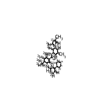 [2H]c1nc(Nc2c([2H])c(C(=O)Nc3c([2H])c(C)c([2H])c(-n4c([2H])cc(C)c4[2H])c3[2H])c([2H])c([2H])c2C([2H])([2H])[2H])nc(-c2cccnc2)c1[2H]